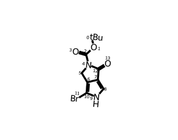 CC(C)(C)OC(=O)N1Cc2c(c[nH]c2Br)C1=O